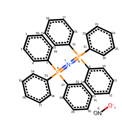 O=N[O-].c1ccc(P(=[N+]=P(c2ccccc2)(c2ccccc2)c2ccccc2)(c2ccccc2)c2ccccc2)cc1